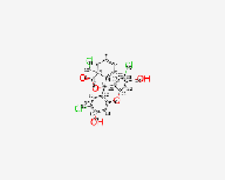 O=C1OC2(C3=CC=CCC13CCl)c1cc(Cl)c(O)cc1Oc1cc(O)c(Cl)cc12